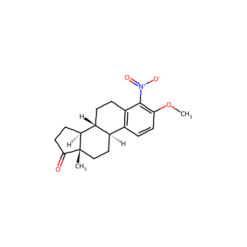 COc1ccc2c(c1[N+](=O)[O-])CC[C@@H]1[C@@H]2CC[C@]2(C)C(=O)CC[C@@H]12